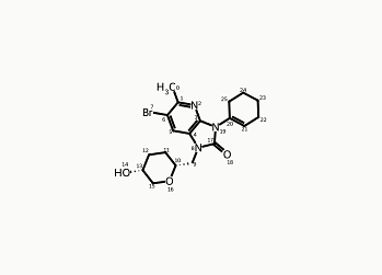 Cc1nc2c(cc1Br)n(C[C@H]1CC[C@@H](O)CO1)c(=O)n2C1=CCCCC1